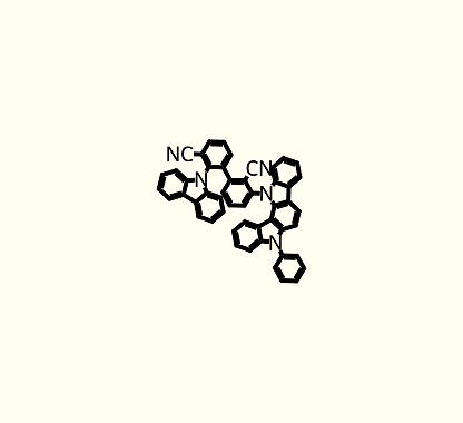 N#Cc1cccc(-c2cccc(-n3c4ccccc4c4ccc5c(c6ccccc6n5-c5ccccc5)c43)c2C#N)c1-n1c2ccccc2c2ccccc21